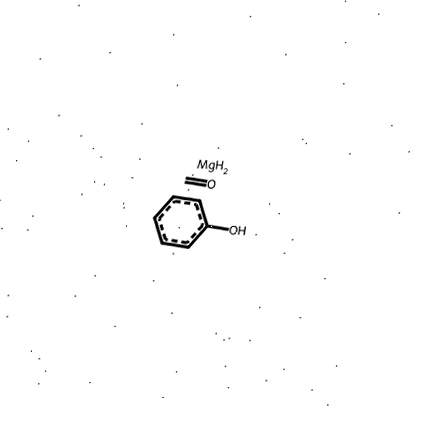 C=O.Oc1ccccc1.[MgH2]